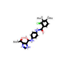 CNC(=O)c1nc[nH]c1C(O)Nc1ccc(NC(=O)c2ccc(OC)c(OC)c2Cl)cc1